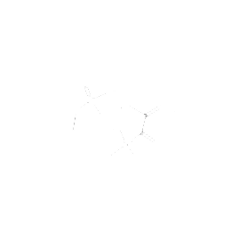 C=C(C)C(=O)[N+](C)(C)C.CCOP(=O)(O)O